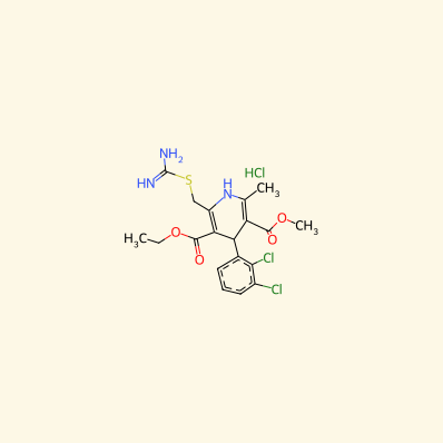 CCOC(=O)C1=C(CSC(=N)N)NC(C)=C(C(=O)OC)C1c1cccc(Cl)c1Cl.Cl